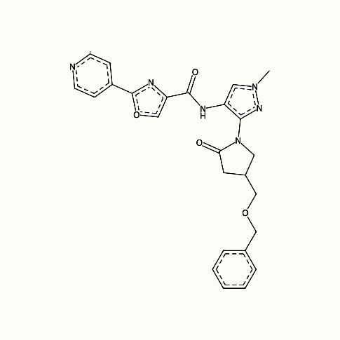 Cn1cc(NC(=O)c2coc(-c3c[c]ncc3)n2)c(N2CC(COCc3ccccc3)CC2=O)n1